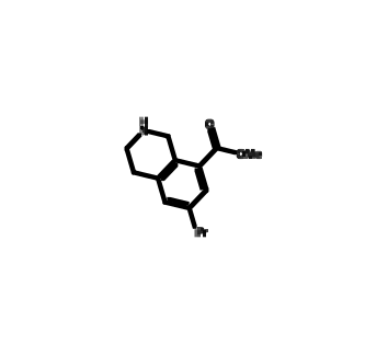 COC(=O)c1cc(C(C)C)cc2c1CNCC2